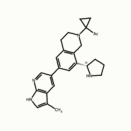 CC(=O)C1(N2CCc3cc(-c4cnc5[nH]cc(C)c5c4)cc([C@@H]4CCCN4)c3C2)CC1